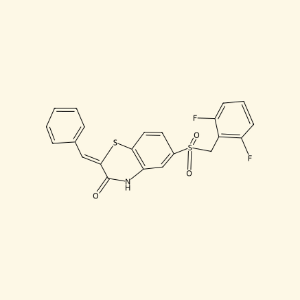 O=C1Nc2cc(S(=O)(=O)Cc3c(F)cccc3F)ccc2SC1=Cc1ccccc1